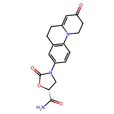 NC(=O)[C@H]1CN(c2ccc3c(c2)CCC2=CC(=O)CCN23)C(=O)O1